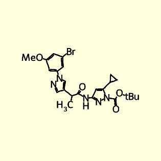 COc1cc(Br)cc(-n2cc(C(C)C(=O)Nc3cc(C4CC4)n(C(=O)OC(C)(C)C)n3)cn2)c1